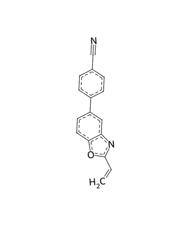 C=Cc1nc2cc(-c3ccc(C#N)cc3)ccc2o1